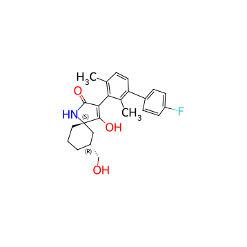 Cc1ccc(-c2ccc(F)cc2)c(C)c1C1=C(O)[C@@]2(CCC[C@@H](CO)C2)NC1=O